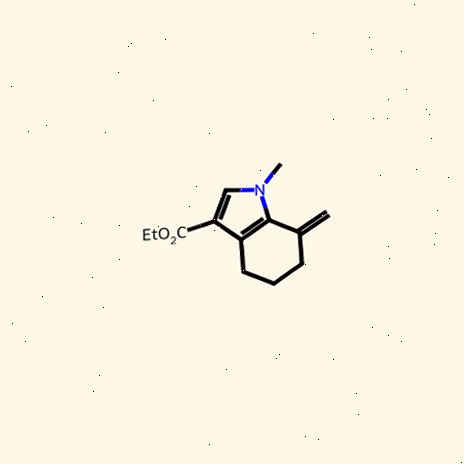 C=C1CCCc2c(C(=O)OCC)cn(C)c21